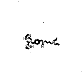 CCCN(CCC)CCCCN(C#N)Cc1ccc(CN(Cc2ncc[nH]2)C(C)c2ncc[nH]2)cc1